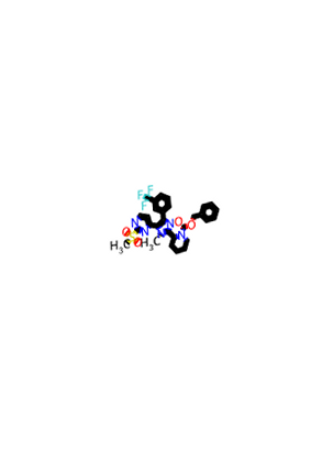 Cn1c(C2CCCCN2C(=O)OCc2ccccc2)nc(-c2cccc(C(F)(F)F)c2)c1-c1ccnc(S(C)(=O)=O)n1